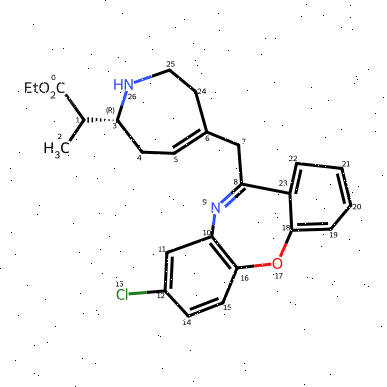 CCOC(=O)C(C)[C@H]1CC=C(CC2=Nc3cc(Cl)ccc3Oc3ccccc32)CCN1